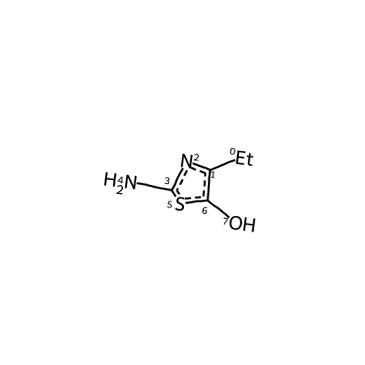 CCc1nc(N)sc1O